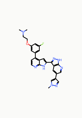 CN(C)CCOc1cc(F)cc(-c2ccnc3[nH]c(-c4n[nH]c5ncc(-c6cnn(C)c6)cc45)cc23)c1